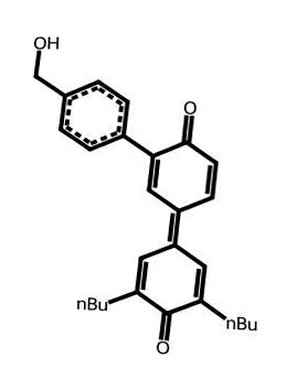 CCCCC1=CC(=C2C=CC(=O)C(c3ccc(CO)cc3)=C2)C=C(CCCC)C1=O